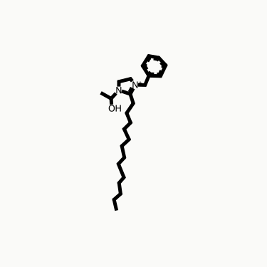 CCCCCCCCCCCCCC1=[N+](Cc2ccccc2)CCN1C(C)O